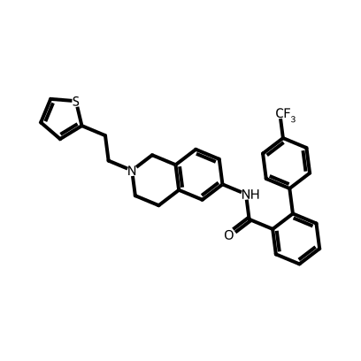 O=C(Nc1ccc2c(c1)CCN(CCc1cccs1)C2)c1ccccc1-c1ccc(C(F)(F)F)cc1